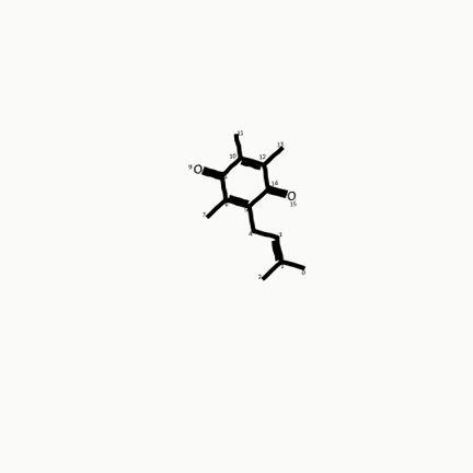 CC(C)=CCC1=C(C)C(=O)C(C)=C(C)C1=O